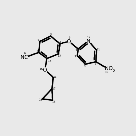 N#Cc1ccc(Oc2ccc([N+](=O)[O-])cn2)cc1OCC1CC1